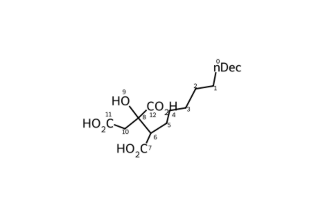 CCCCCCCCCCCCCCCC(C(=O)O)C(O)(CC(=O)O)C(=O)O